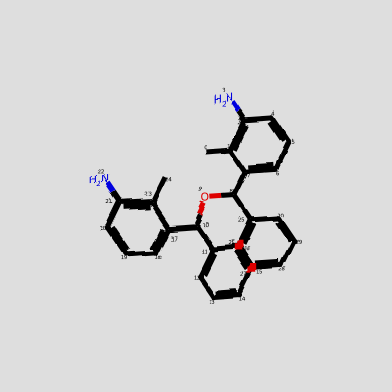 Cc1c(N)cccc1C(OC(c1ccccc1)c1cccc(N)c1C)c1ccccc1